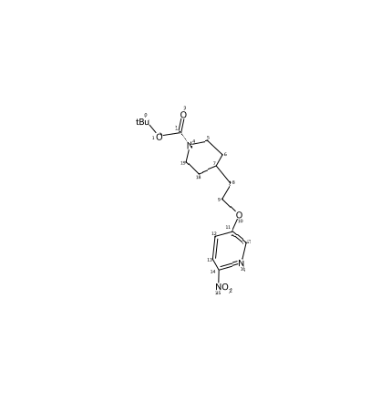 CC(C)(C)OC(=O)N1CCC(CCOc2ccc([N+](=O)[O-])nc2)CC1